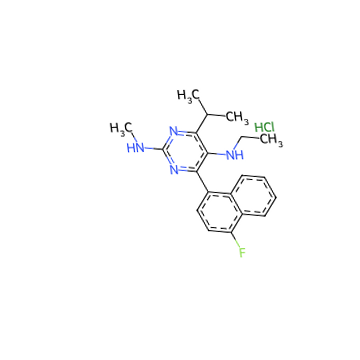 CCNc1c(-c2ccc(F)c3ccccc23)nc(NC)nc1C(C)C.Cl